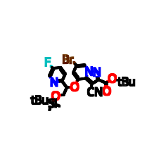 CC(C)(C)OC(=O)c1nn2cc(Br)cc(OC(CO[Si](C)(C)C(C)(C)C)c3ccc(F)cn3)c2c1C#N